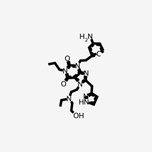 CCCn1c(=O)c2c(nc(Cc3cc[nH]n3)n2CCN(CC)CCO)n(CCc2cccc(N)c2)c1=O